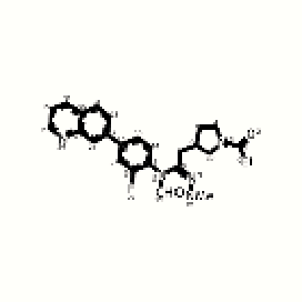 CCC(=O)N1CCC(C/C(=N/NC)N(C=O)c2ccc(-c3ccc4cccnc4c3)cc2F)C1